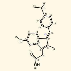 COc1ccc2c(c1)C(CC(=O)O)=C(C)/C2=C/c1ccc(C(C)C)cc1